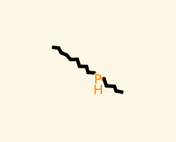 CCCCCCCCCCPCCCCC